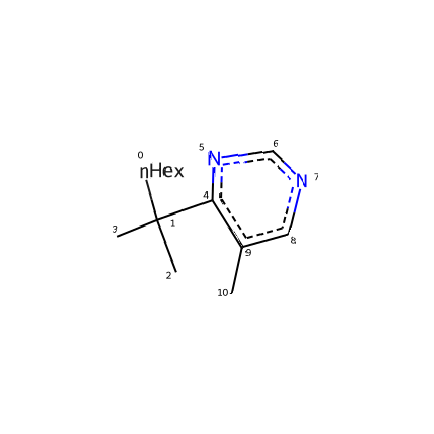 CCCCCCC(C)(C)c1ncncc1C